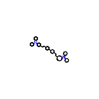 C1#CC(/C=C/C2=CCC(c3ccc(/C=C/c4ccc(N(c5ccccc5)c5ccccc5)cc4)cc3)C=C2)/C=C\C(N(C2=CCCC=C2)C2=CC=CCC2)=C/C1